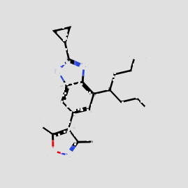 CCCC(CCC)c1cc(-c2c(C)noc2C)cc2[nH]c(C3CC3)nc12